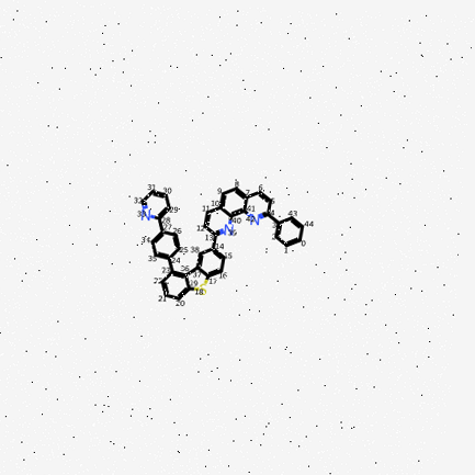 c1ccc(-c2ccc3ccc4ccc(-c5ccc6sc7cccc(-c8ccc(-c9ccccn9)cc8)c7c6c5)nc4c3n2)cc1